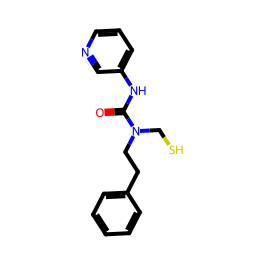 O=C(Nc1cccnc1)N(CS)CCc1ccccc1